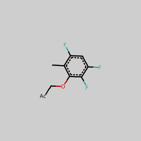 CC(=O)COc1c(C)c(F)cc(F)c1F